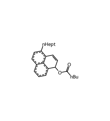 CCCCCCCc1ccc2cccc3c2c1C=CC3OC(=O)CCCC